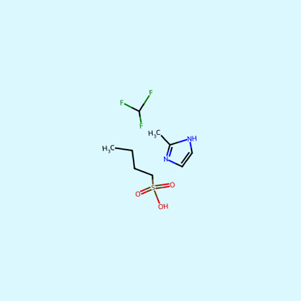 CCCCS(=O)(=O)O.Cc1ncc[nH]1.FC(F)F